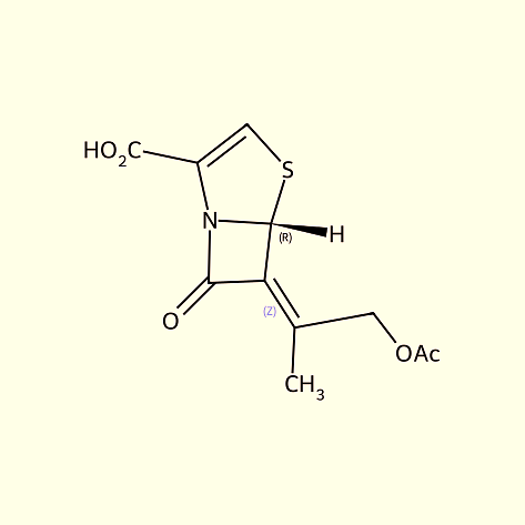 CC(=O)OC/C(C)=C1/C(=O)N2C(C(=O)O)=CS[C@H]12